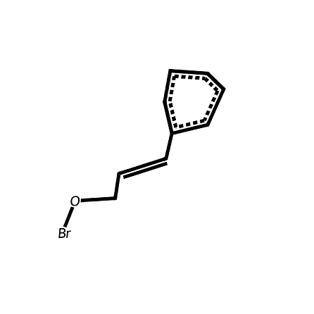 BrOCC=Cc1ccccc1